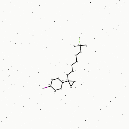 CC(C)(F)CCCCCCC1(C2CCC(I)CC2)CC1